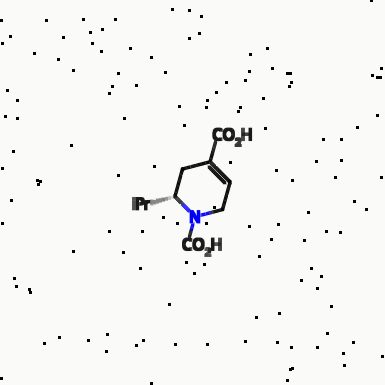 CC(C)[C@@H]1CC(C(=O)O)=CCN1C(=O)O